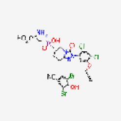 C#CCOc1cc(-n2nc3n(c2=O)CCCC3)c(Cl)cc1Cl.CP(=O)(O)CCC(N)C(=O)O.N#Cc1cc(Br)c(O)c(Br)c1